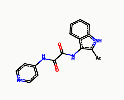 CC(=O)c1[nH]c2ccccc2c1NC(=O)C(=O)Nc1ccncc1